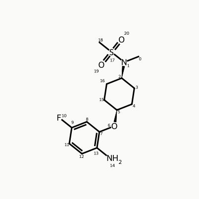 CN([C@H]1CC[C@@H](Oc2cc(F)ccc2N)CC1)S(C)(=O)=O